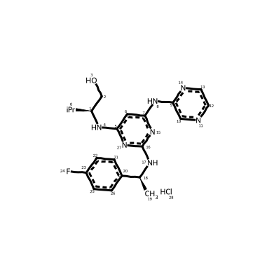 CC(C)[C@@H](CO)Nc1cc(Nc2cnccn2)nc(N[C@@H](C)c2ccc(F)cc2)n1.Cl